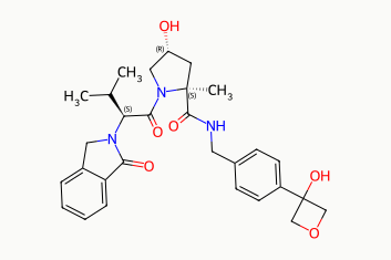 CC(C)[C@@H](C(=O)N1C[C@H](O)C[C@@]1(C)C(=O)NCc1ccc(C2(O)COC2)cc1)N1Cc2ccccc2C1=O